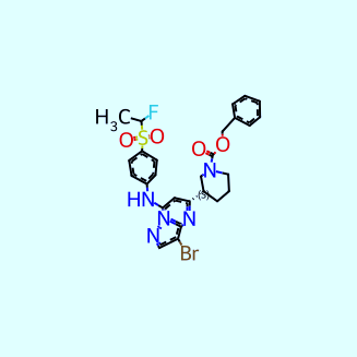 CC(F)S(=O)(=O)c1ccc(Nc2cc([C@H]3CCCN(C(=O)OCc4ccccc4)C3)nc3c(Br)cnn23)cc1